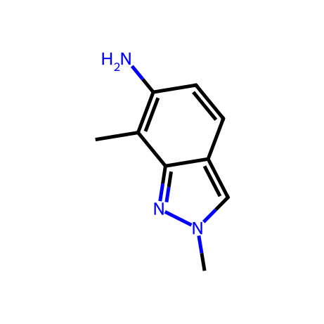 Cc1c(N)ccc2cn(C)nc12